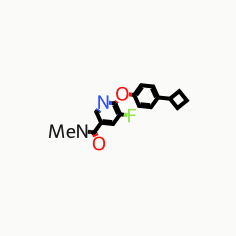 CNC(=O)c1cnc(Oc2ccc(C3CCC3)cc2)c(F)c1